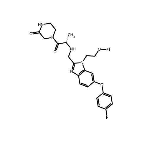 CCOCCn1c(CN[C@@H](C)C(=O)N2CCNC(=O)C2)nc2ccc(Oc3ccc(F)cc3)cc21